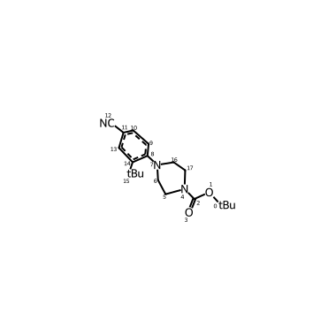 CC(C)(C)OC(=O)N1CCN(c2ccc(C#N)cc2C(C)(C)C)CC1